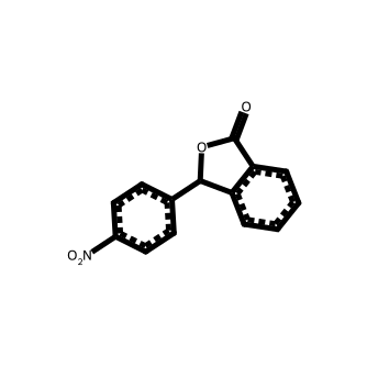 O=C1OC(c2ccc([N+](=O)[O-])cc2)c2ccccc21